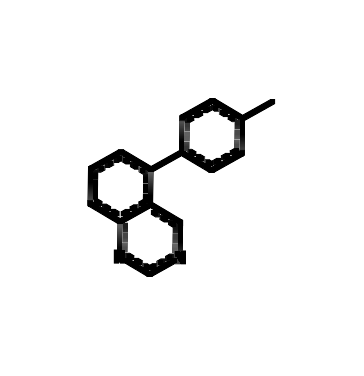 Cc1ccc(-c2cccc3ncncc23)cc1